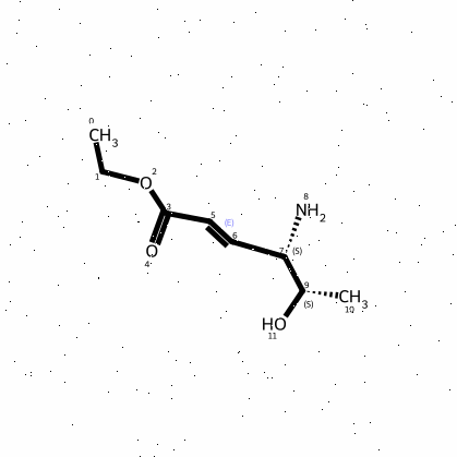 CCOC(=O)/C=C/[C@H](N)[C@H](C)O